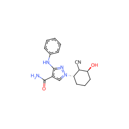 N#CC1[C@@H](O)CCC[C@@H]1n1cc(C(N)=O)c(Nc2ccccc2)n1